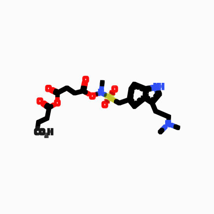 CN(C)CCc1c[nH]c2ccc(CS(=O)(=O)N(C)OC(=O)CCC(=O)OC(=O)CCC(=O)O)cc12